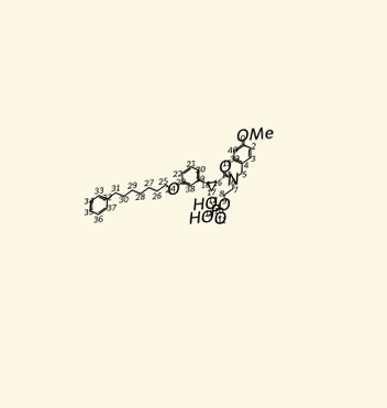 COc1ccc(CN(CCOP(=O)(O)O)C(=O)[C@@H]2C[C@H]2c2cccc(OCCCCCCCc3ccccc3)c2)cc1